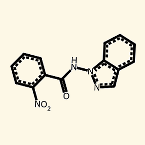 O=C(Nn1ncc2ccccc21)c1ccccc1[N+](=O)[O-]